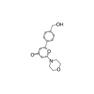 O=c1cc(-c2ccc(CO)cc2)oc(N2CCOCC2)c1